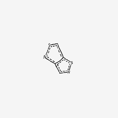 c1nsc2csnc12